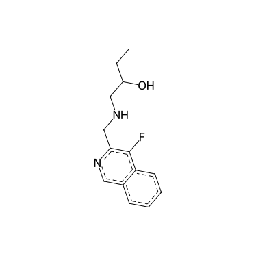 CCC(O)CNCc1ncc2ccccc2c1F